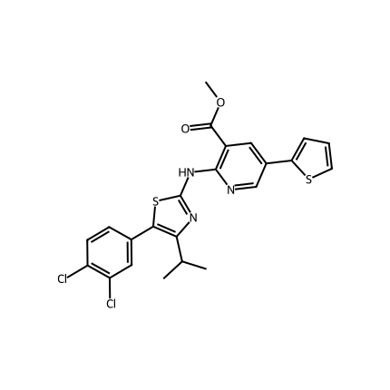 COC(=O)c1cc(-c2cccs2)cnc1Nc1nc(C(C)C)c(-c2ccc(Cl)c(Cl)c2)s1